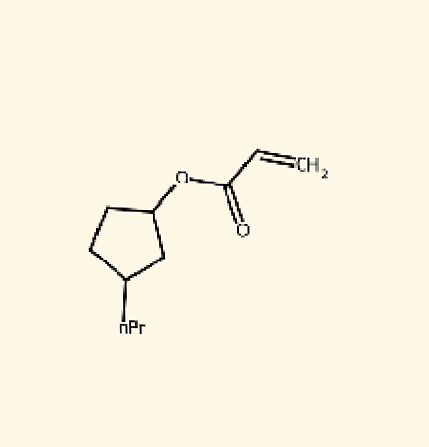 C=CC(=O)OC1CCC(CCC)C1